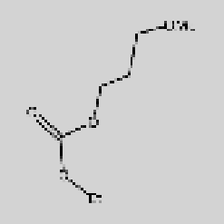 CCOC(=O)OCCCOC